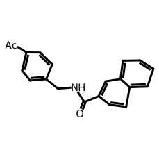 CC(=O)c1ccc(CNC(=O)c2ccc3ccccc3c2)cc1